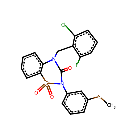 CSc1cccc(N2C(=O)N(Cc3c(F)cccc3Cl)c3ccccc3S2(=O)=O)c1